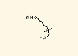 CCCCCCCCCCC[N+](C)(C)C[SiH3]